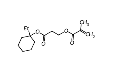 C=C(C)C(=O)OCCC(=O)OC1(CC)CCCCC1